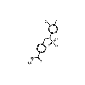 CCS(=O)(=O)N(Cc1ccc(C(=O)NN)cn1)c1ccc(C)c(Cl)c1